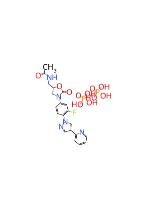 CC(=O)NCC1CN(c2ccc(-n3cc(-c4ccccn4)cn3)c(F)c2)C(=O)O1.O=P(O)(O)O.O=P(O)(O)O